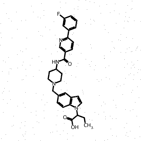 CCC(C(=O)O)n1ccc2cc(CN3CCC(NC(=O)c4ccc(-c5cccc(F)c5)nc4)CC3)ccc21